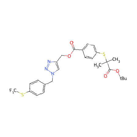 CC(C)(C)OC(=O)C(C)(C)Sc1ccc(C(=O)OCc2cn(Cc3ccc(SC(F)(F)F)cc3)nn2)cc1